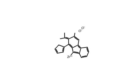 CC(C)=c1c(C)cc2c(c1C1=CC=CC1)[C]([Zr+2])=c1ccccc1=2.[Cl-].[Cl-]